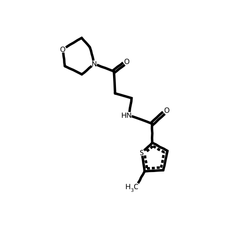 Cc1ccc(C(=O)NCCC(=O)N2CCOCC2)s1